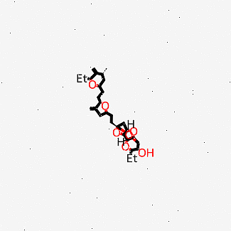 C=C1CC(CC[C@@]23C[C@H]4OC5C(O2)[C@@H](O)C(CC)O[C@H]5C4O3)OC1CCC1C[C@@H](C)C(=C)C(CC)O1